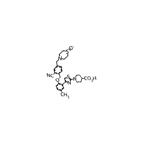 Cc1ccc(OCc2ccc(CN3CC[S+]([O-])CC3)cc2C#N)c(-c2csc(N3CCC(C(=O)O)CC3)n2)c1